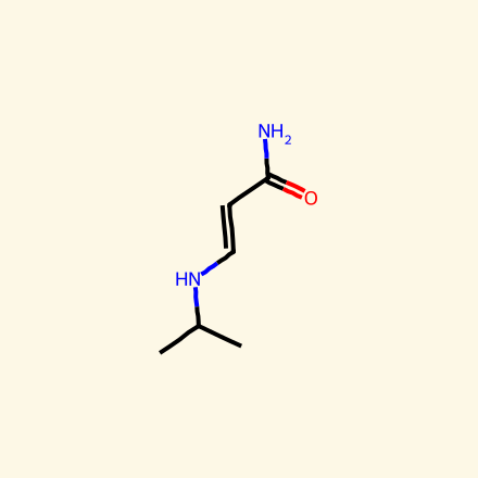 CC(C)NC=CC(N)=O